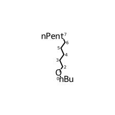 C[CH]CCOCCCCCCCCCC